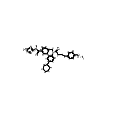 COc1ccc(CCCC(=O)N(Cc2ccc(C(=O)Nc3nn[nH]n3)cc2)c2ccc(C3CCCCC3)cc2)cc1